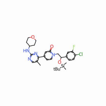 Cc1cnc(NC2CCOCC2)nc1-c1ccn(CC(O[Si](C)(C)C(C)(C)C)c2ccc(Cl)c(F)c2)c(=O)c1